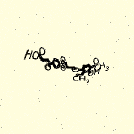 CCCc1c(OCCCS(=O)(=O)c2ccc(C(=O)C=CC(=O)O)cc2)ccc(C(C)=O)c1O